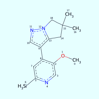 COc1cnc([SiH3])cc1-c1cnn2c1CC(C)(C)C2